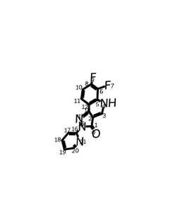 O=c1c2c[nH]c3c(F)c(F)ccc3c-2nn1-c1ccccn1